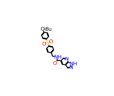 CC(C)COc1ccc(S(=O)(=O)c2ccc(CNC(=O)c3cnc4[nH]ncc4c3)cc2)cc1